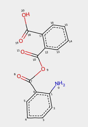 Nc1ccccc1C(=O)OC(=O)c1ccccc1C(=O)O